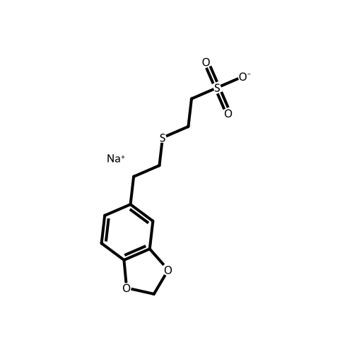 O=S(=O)([O-])CCSCCc1ccc2c(c1)OCO2.[Na+]